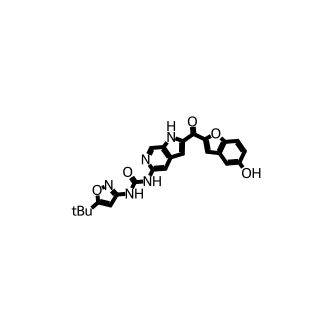 CC(C)(C)c1cc(NC(=O)Nc2cc3cc(C(=O)c4cc5cc(O)ccc5o4)[nH]c3cn2)no1